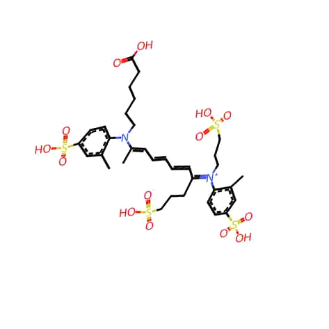 C\C(=C/C=C/C=C/C(CCCS(=O)(=O)O)=[N+](\CCCS(=O)(=O)O)c1ccc(S(=O)(=O)O)cc1C)N(CCCCCC(=O)O)c1ccc(S(=O)(=O)O)cc1C